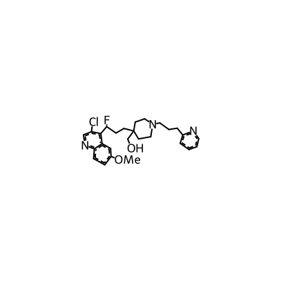 COc1ccc2ncc(Cl)c([C@H](F)CCC3(CO)CCN(CCCc4ccccn4)CC3)c2c1